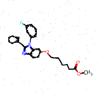 COC(=O)CCCCCOc1ccc2nc(-c3ccccc3)n(-c3cccc(F)c3)c2c1